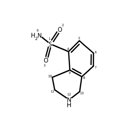 NS(=O)(=O)c1cccc2c1CCNC2